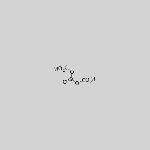 O=C(O)O[Si](=O)OC(=O)O